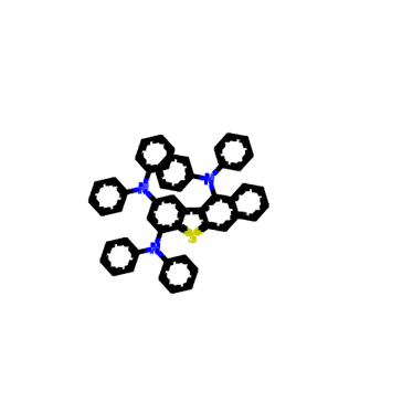 c1ccc(N(c2ccccc2)c2cc(N(c3ccccc3)c3ccccc3)c3sc4cc5ccccc5c(N(c5ccccc5)c5ccccc5)c4c3c2)cc1